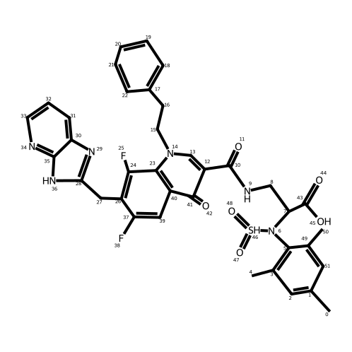 Cc1cc(C)c(N(C(CNC(=O)c2cn(CCc3ccccc3)c3c(F)c(Cc4nc5cccnc5[nH]4)c(F)cc3c2=O)C(=O)O)[SH](=O)=O)c(C)c1